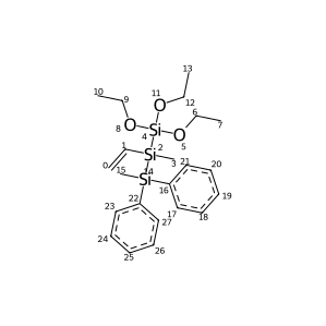 C=C[Si](C)([Si](OCC)(OCC)OCC)[Si](C)(c1ccccc1)c1ccccc1